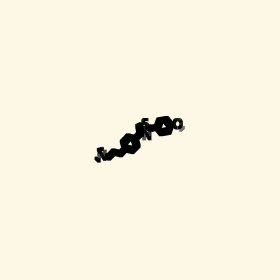 COc1ccc(-c2nc(-c3ccc(CCCN(C)C)cc3)cs2)cc1